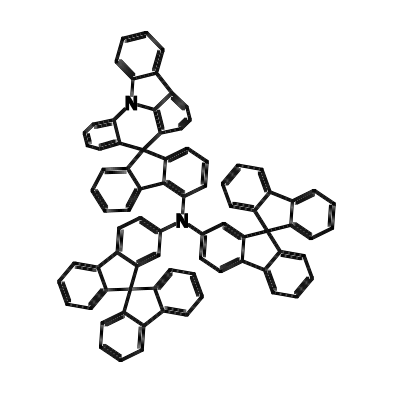 c1ccc2c(c1)-c1ccccc1C21c2ccccc2-c2ccc(N(c3ccc4c(c3)C3(c5ccccc5-c5ccccc53)c3ccccc3-4)c3cccc4c3-c3ccccc3C43c4ccccc4-n4c5ccccc5c5cccc3c54)cc21